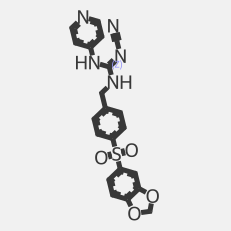 N#C/N=C(/NCc1ccc(S(=O)(=O)c2ccc3c(c2)OCO3)cc1)Nc1ccncc1